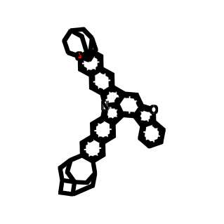 c1ccc2c(c1)oc1cc3c4cc5cc6c(cc5cc4n4c5cc7cc8c(cc7cc5c(c12)c34)C1CC2CC3CC8CC23C1)C1CC2CC(CC6C2)C1